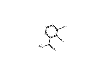 CC(=O)OC(=O)c1cccc(Cl)c1I